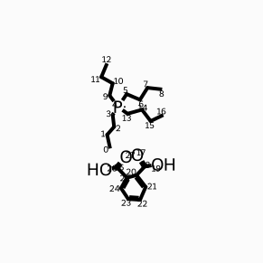 CCCC[P](CCCC)(CCCC)CCCC.O=C(O)c1ccccc1C(=O)O